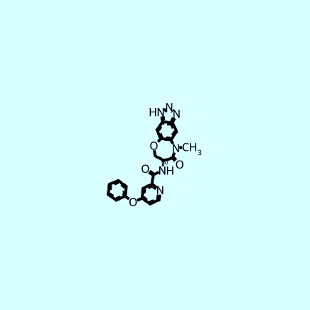 CN1C(=O)[C@@H](NC(=O)c2cc(Oc3ccccc3)ccn2)COc2cc3[nH]nnc3cc21